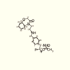 CS(=O)(=O)N[C@@H](c1ccc(CNCCN2C(=O)COc3ccccc32)cc1)C(F)F